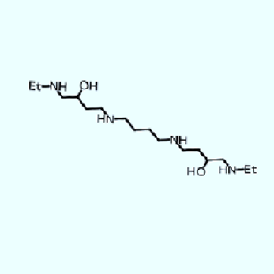 CCNCC(O)CCNCCCCNCCC(O)CNCC